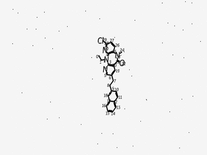 CCN1c2ncc(CCc3ccc4ccccc4c3)cc2C(=O)N(C)c2ccc(Cl)nc21